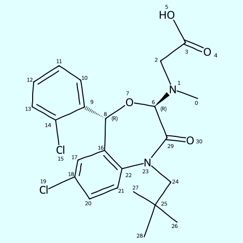 CN(CC(=O)O)[C@@H]1O[C@@H](c2ccccc2Cl)c2cc(Cl)ccc2N(CC(C)(C)C)C1=O